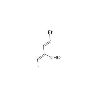 C/C=C(C=O)/C=C/CC